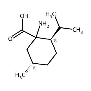 CC(C)[C@H]1CC[C@H](C)CC1(N)C(=O)O